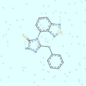 S=c1[nH]nc(Cc2ccccc2)n1-c1cccc2nsnc12